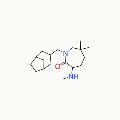 CNC1CCC(C)(C)CN(CC2CC3CCC(C3)C2)C1=O